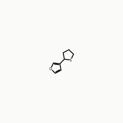 c1cc(C2CCCS2)co1